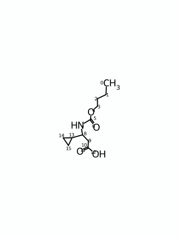 CCCCOC(=O)NC(CC(=O)O)C1CC1